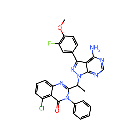 COc1ccc(-c2nn(C(C)c3nc4cccc(Cl)c4c(=O)n3-c3ccccc3)c3ncnc(N)c23)cc1F